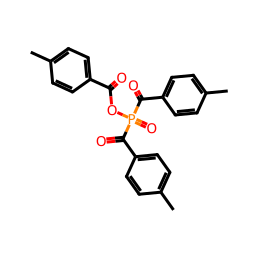 Cc1ccc(C(=O)OP(=O)(C(=O)c2ccc(C)cc2)C(=O)c2ccc(C)cc2)cc1